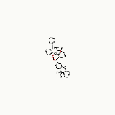 O=S1(=O)c2ccccc2Oc2cc(N3c4ccccc4[Si]4(c5ccccc5N(c5ccccc5)c5ccccc54)c4ccccc43)ccc21